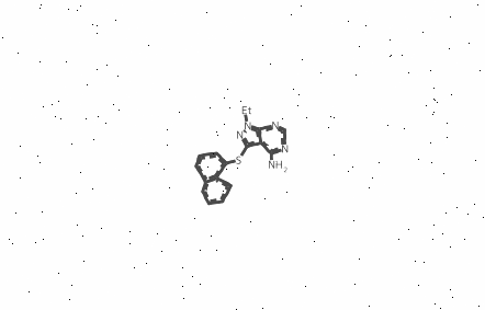 CCn1nc(Sc2cccc3ccccc23)c2c(N)ncnc21